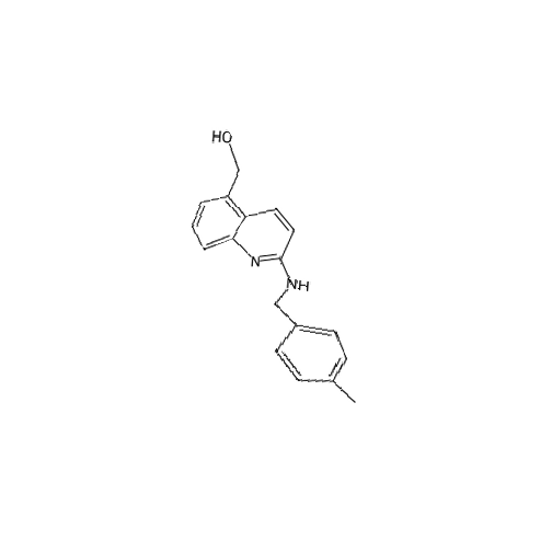 Cc1ccc(CNc2ccc3c(CO)cccc3n2)cc1